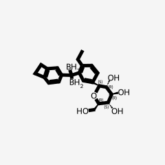 BC(B)(c1ccc2c(c1)CC2)c1cc([C@@H]2O[C@H](CO)[C@@H](O)[C@H](O)[C@H]2O)ccc1CC